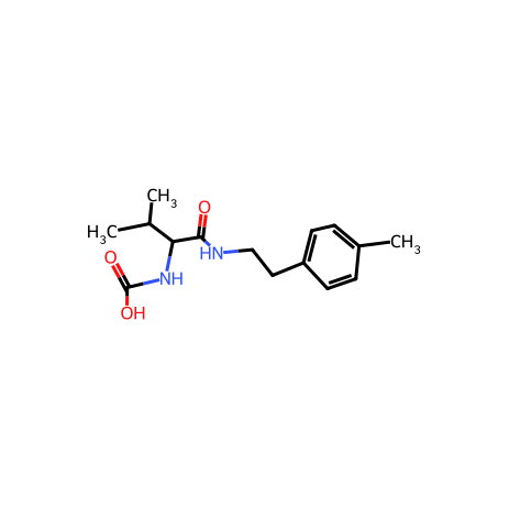 Cc1ccc(CCNC(=O)C(NC(=O)O)C(C)C)cc1